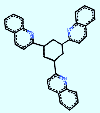 c1ccc2nc(C3CC(c4ccc5ccccc5n4)CC(c4ccc5ccccc5n4)C3)ccc2c1